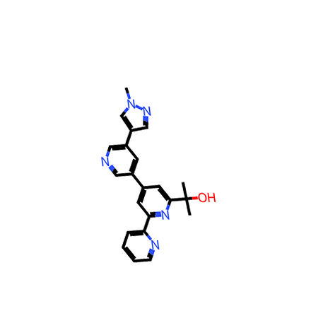 Cn1cc(-c2cncc(-c3cc(-c4ccccn4)nc(C(C)(C)O)c3)c2)cn1